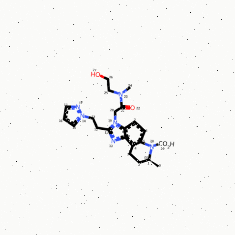 C[C@H]1CCc2c(ccc3c2nc(CCn2cccn2)n3CC(=O)N(C)CCO)N1C(=O)O